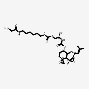 COC1C([C@@]2(C)O[C@@H]2CC=C(C)C)[C@]2(CC[C@@H]1OC(=O)N[C@@H](COC(=O)NCCCCCCNC(=O)CN)C(C)C)CO2